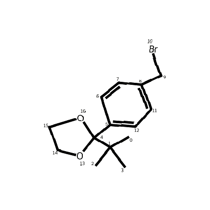 CC(C)(C)C1(c2ccc(CBr)cc2)OCCO1